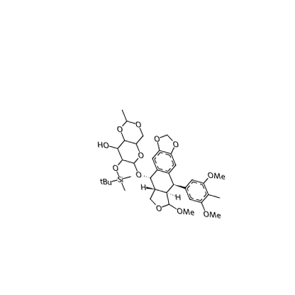 COc1cc([C@@H]2c3cc4c(cc3[C@@H](OC3OC5COC(C)OC5C(O)C3O[Si](C)(C)C(C)(C)C)[C@H]3COC(OC)[C@H]23)OCO4)cc(OC)c1C